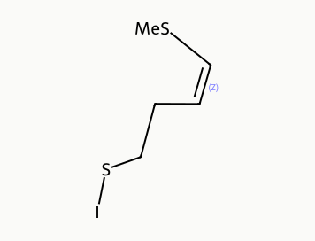 CS/C=C\CCSI